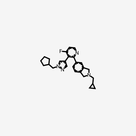 Fc1ccnc(-c2ccc3c(c2)CN(CC2CC2)C3)c1-c1cnn(CC2CCCC2)c1